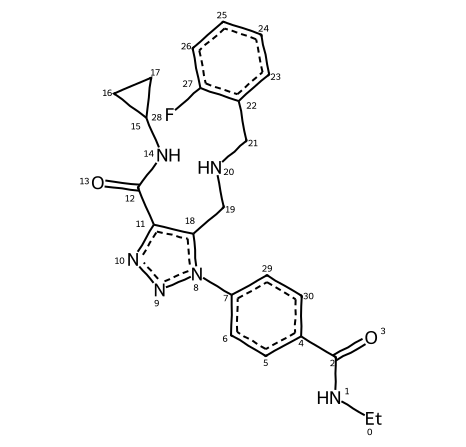 CCNC(=O)c1ccc(-n2nnc(C(=O)NC3CC3)c2CNCc2ccccc2F)cc1